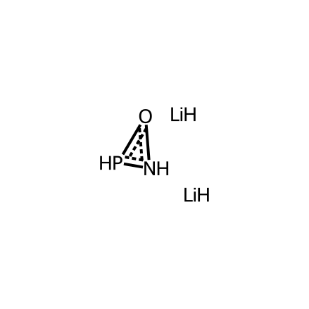 [LiH].[LiH].[nH]1o[pH]1